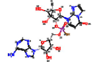 Nc1ncnc2c1ncn2[C@@H]1O[C@H](COP(=O)(S)O[C@H]2[C@H](n3ccc(=O)n4ccnc34)O[C@@H]3C(O)[C@@]32O)[C@H](O)[C@H]1O